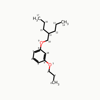 CCCOc1cccc(OCC(CCC)CCC)c1